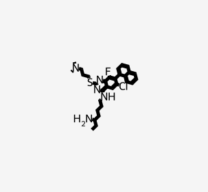 CCC(N)CCCCNc1nc(SCCCN(C)C)nc2c(F)c(-c3cccc4ccccc34)c(Cl)cc12